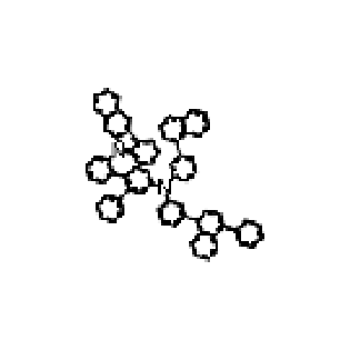 c1ccc(-c2cc(N(c3cccc(-c4cccc5ccccc45)c3)c3cccc(-c4ccc(-c5ccccc5)c5ccccc45)c3)ccc2-c2ccccc2-n2c3ccccc3c3cc4ccccc4cc32)cc1